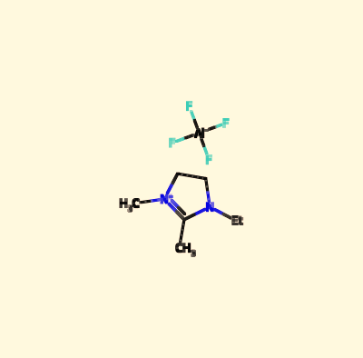 CCN1CC[N+](C)=C1C.[F][Al-]([F])([F])[F]